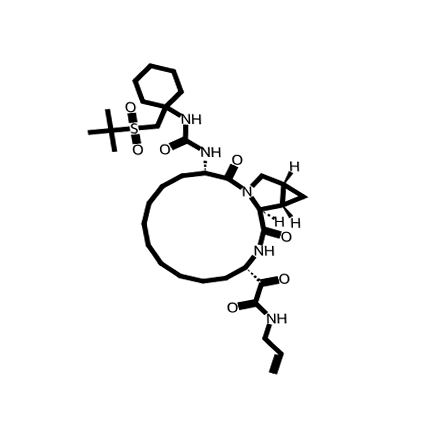 C=CCNC(=O)C(=O)[C@@H]1CCCCCCCCC[C@H](NC(=O)NC2(CS(=O)(=O)C(C)(C)C)CCCCC2)C(=O)N2C[C@@H]3C[C@@H]3[C@H]2C(=O)N1